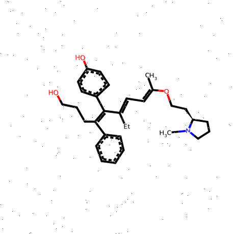 CCC(=C\C=C(/C)OCC[C@H]1CCCN1C)/C(=C(/CCCO)c1ccccc1)c1ccc(O)cc1